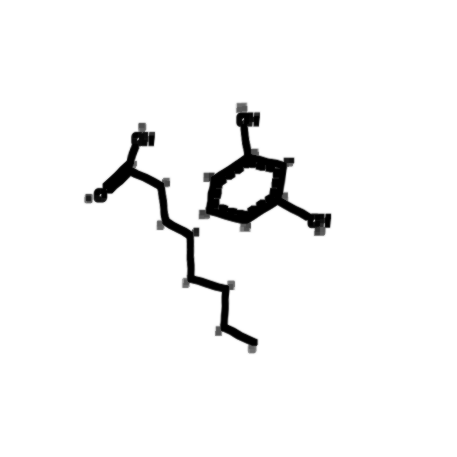 CCCCCCCC(=O)O.Oc1cccc(O)c1